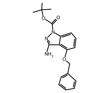 CC(C)(C)OC(=O)n1nc(N)c2c(OCc3ccccc3)cccc21